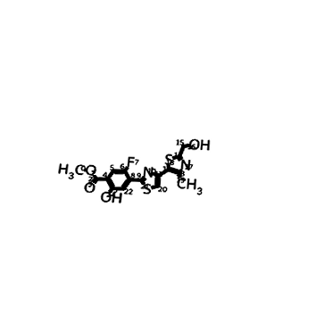 COC(=O)c1cc(F)c(-c2nc(-c3sc(CO)nc3C)cs2)cc1O